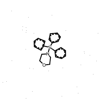 c1ccc([Si](c2ccccc2)(c2ccccc2)N2CCOCC2)cc1